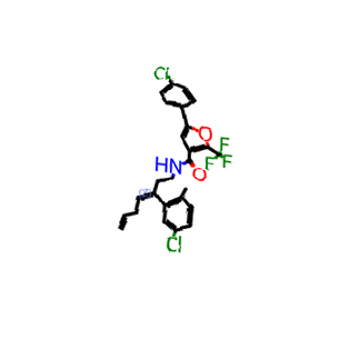 C=CC/C=C(/CCNC(=O)c1cc(-c2ccc(Cl)cc2)oc1C(F)(F)F)c1cc(Cl)ccc1C